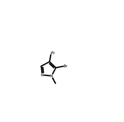 CC(C)c1cnn(C)c1Br